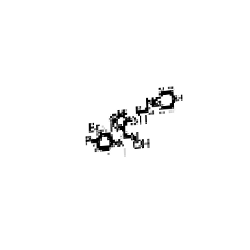 O/N=C(\Nc1ccc(F)c(Br)c1)c1nonc1NCCN=S1CCCCC1